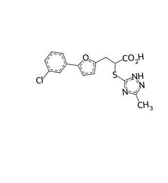 Cc1n[nH]c(SC(Cc2ccc(-c3cccc(Cl)c3)o2)C(=O)O)n1